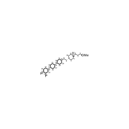 COCCC[Si@H]1CC[C@H](CCc2ccc(-c3ccc(-c4ccc(F)c(F)c4)cc3)cc2)CC1